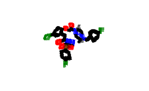 C[C@@H]1CN(Cc2ccc(F)cc2)[C@@H](C)CN1C(=O)COc1ccc(Cl)cc1CC(=O)NS(=O)(=O)c1ccc(F)cc1